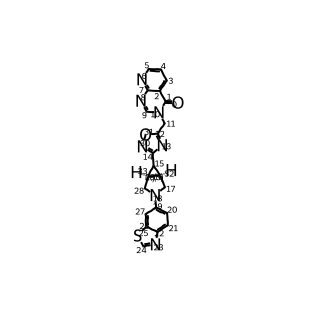 O=c1c2cccnc2ncn1Cc1nc(C2[C@H]3CN(c4ccc5ncsc5c4)C[C@@H]23)no1